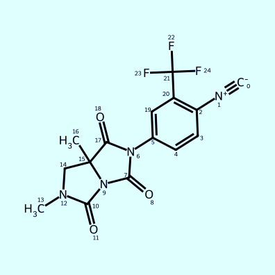 [C-]#[N+]c1ccc(N2C(=O)N3C(=O)N(C)CC3(C)C2=O)cc1C(F)(F)F